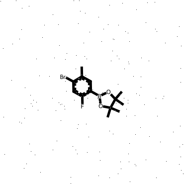 Cc1cc(B2OC(C)(C)C(C)(C)O2)c(F)cc1Br